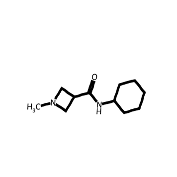 CN1CC(C(=O)NC2CCCCC2)C1